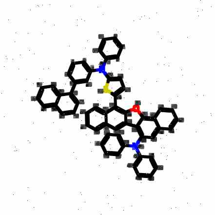 c1ccc(N(c2cccc(-c3cccc4ccccc34)c2)c2ccc(-c3c4ccccc4cc4c3oc3c5ccccc5cc(N(c5ccccc5)c5ccccc5)c43)s2)cc1